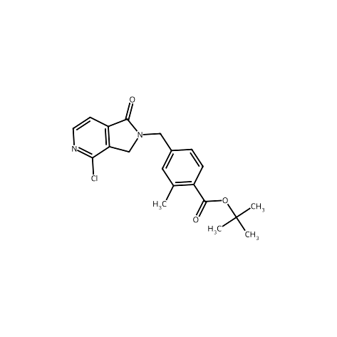 Cc1cc(CN2Cc3c(ccnc3Cl)C2=O)ccc1C(=O)OC(C)(C)C